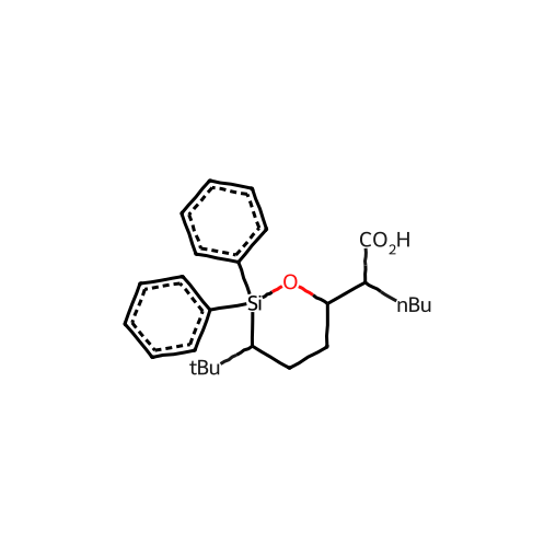 CCCCC(C(=O)O)C1CCC(C(C)(C)C)[Si](c2ccccc2)(c2ccccc2)O1